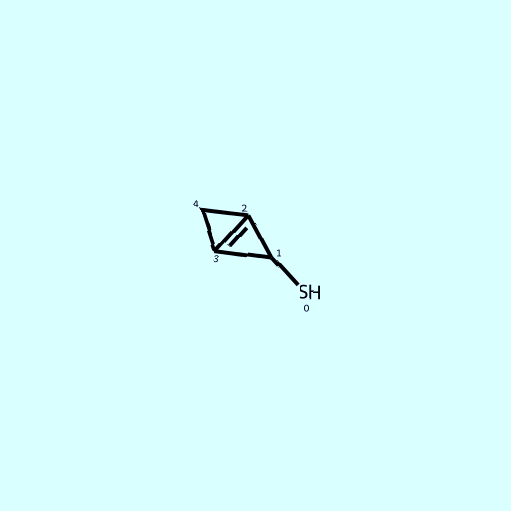 SC1C2=C1C2